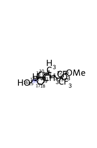 COCOC(CCC[C@@H](C)[C@H]1CC[C@H]2/C(=C/CO)CCC[C@]12C)(C(F)(F)F)C(F)(F)F